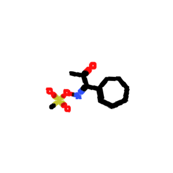 CC(=O)C(=NOS(C)(=O)=O)C1=CCCCCC1